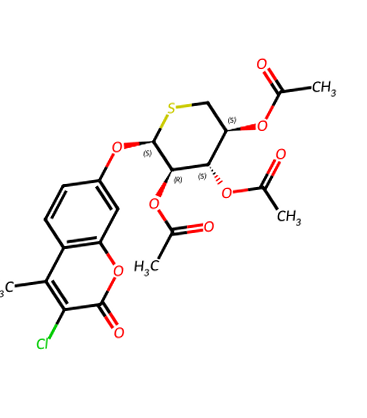 CC(=O)O[C@@H]1[C@@H](OC(C)=O)[C@@H](Oc2ccc3c(C)c(Cl)c(=O)oc3c2)SC[C@H]1OC(C)=O